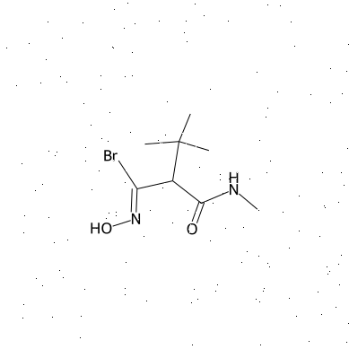 CNC(=O)C(/C(Br)=N/O)C(C)(C)C